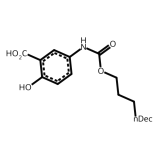 CCCCCCCCCCCCCOC(=O)Nc1ccc(O)c(C(=O)O)c1